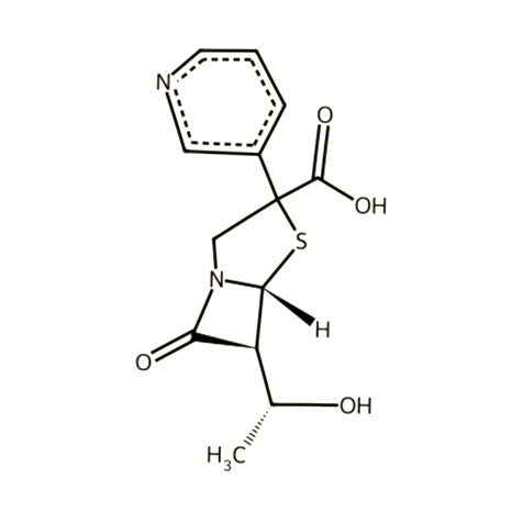 C[C@@H](O)[C@H]1C(=O)N2CC(C(=O)O)(c3cccnc3)S[C@H]12